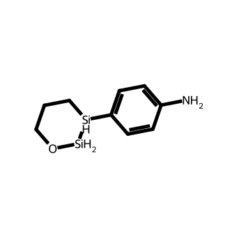 Nc1ccc([SiH]2CCCO[SiH2]2)cc1